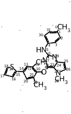 Cc1ccc(Nc2nc(Oc3c(C)cc(-c4cccs4)cc3C)c3c(ccn3C)n2)cc1